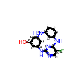 Nc1cccc(Nc2nc(Nc3cccc(O)c3)ncc2F)c1